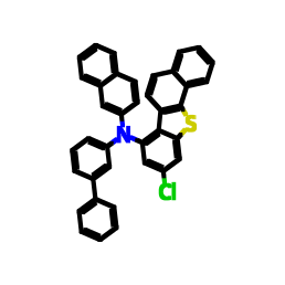 Clc1cc(N(c2cccc(-c3ccccc3)c2)c2ccc3ccccc3c2)c2c(c1)sc1c3ccccc3ccc12